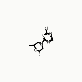 CC1CN(c2ncnc(Cl)n2)C[C@H](C)O1